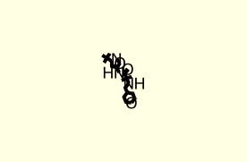 CC(C)(NCC1CCOCC1)C(=O)Nc1cc(C(C)(C)C)no1